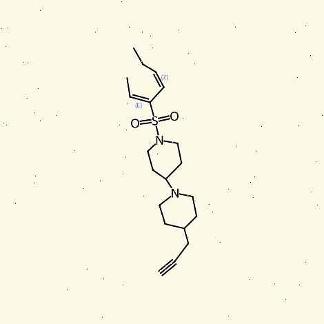 C#CCC1CCN(C2CCN(S(=O)(=O)C(/C=C\CC)=C/C)CC2)CC1